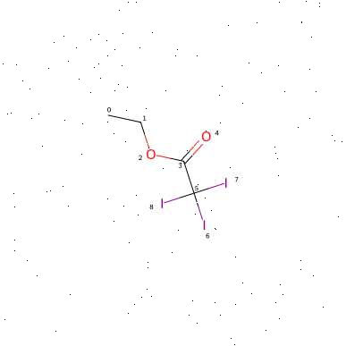 CCOC(=O)C(I)(I)I